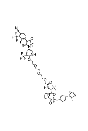 Cc1ncsc1-c1ccc(CNC(=O)C2CCCN2C(=O)C(NC(=O)COCCOCCOCCOC2NC=C(N3C(=S)N(c4ccc(C#N)c(C(F)(F)F)c4F)C(=O)C3(C)C)C=C2C(F)(F)F)C(C)(C)C)cc1